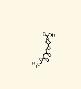 CCOC(=O)CC(=O)COC1CN(C(=O)O)C1